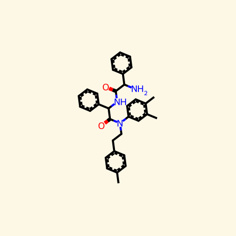 Cc1ccc(CCN(C(=O)C(NC(=O)C(N)c2ccccc2)c2ccccc2)c2ccc(C)c(C)c2)cc1